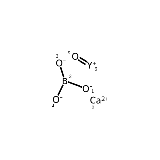 [Ca+2].[O-]B([O-])[O-].[O]=[Y+]